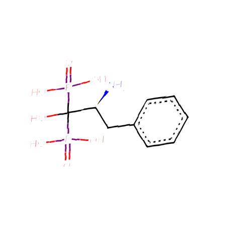 N[C@@H](Cc1ccccc1)C(O)(P(=O)(O)O)P(=O)(O)O